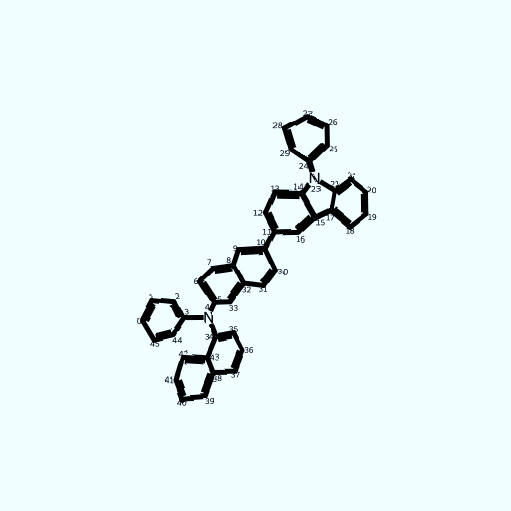 c1ccc(N(c2ccc3cc(-c4ccc5c(c4)c4ccccc4n5-c4ccccc4)ccc3c2)c2cccc3ccccc23)cc1